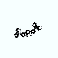 c1cnc2c(c1)c1cnccc1n2-c1ccc2oc3c(ccc4c5cc(-n6c7ccncc7c7cccnc76)ccc5oc43)c2c1